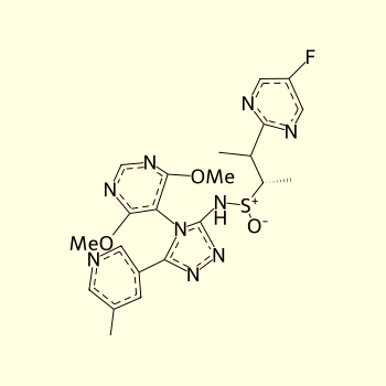 COc1ncnc(OC)c1-n1c(N[S+]([O-])[C@@H](C)C(C)c2ncc(F)cn2)nnc1-c1cncc(C)c1